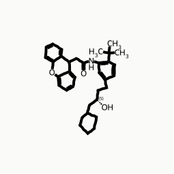 CC(C)(C)c1ccc(CC[C@H](O)CC2CCCCC2)cc1NC(=O)CC1c2ccccc2Oc2ccccc21